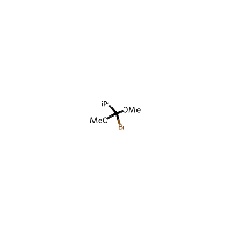 COC(Br)(OC)C(C)C